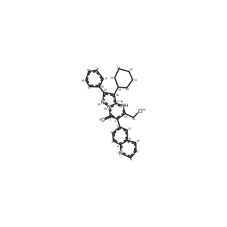 O=c1c(-c2ccc3ncccc3c2)c(CCl)[nH]c2c(C3CCCCC3)c(-c3ccccc3)nn12